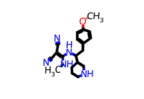 CNC(NC(Cc1ccc(OC)cc1)C1CCCNC1)=C(C#N)C#N